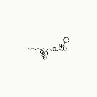 CCCCCCC[C@H](CCOC[C@@H]1COC(c2ccccc2)=N1)OS(C)(=O)=O